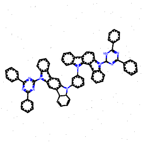 C1=CC2c3cc4c(cc3N(c3cccc(-n5c6ccccc6c6ccc7c(c8ccccc8n7C7N=C(c8ccccc8)N=C(c8ccccc8)N7)c65)c3)C2C=C1)c1ccccc1n4-c1nc(-c2ccccc2)nc(-c2ccccc2)n1